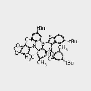 Cc1cc2c3c(c1)N(c1c(C)cc(C(C)(C)C)cc1C)c1c(sc4ccc(C(C)(C)C)cc14)B3c1cc(C(C)(C)C)ccc1N2c1c(C)cc2c(c1C)OCO2